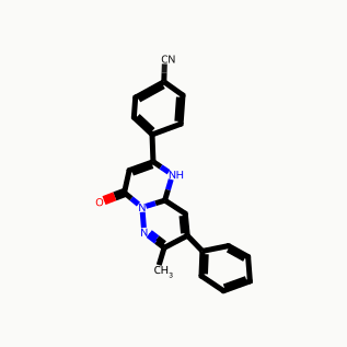 CC1=NN2C(=O)C=C(c3ccc(C#N)cc3)NC2C=C1c1ccccc1